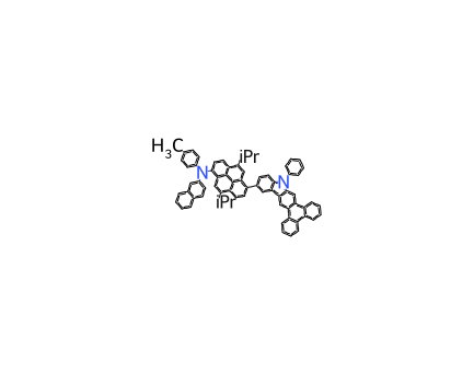 Cc1ccc(N(c2ccc3ccccc3c2)c2ccc3c(C(C)C)cc4c(-c5ccc6c(c5)c5cc7c8ccccc8c8ccccc8c7cc5n6-c5ccccc5)ccc5c(C(C)C)cc2c3c45)cc1